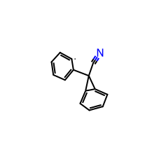 N#CC1(c2[c]cccc2)c2ccccc21